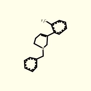 FC(F)(F)c1ccccc1C1=CCCN(Cc2ccccc2)C1